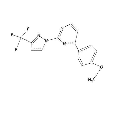 COc1ccc(-c2c[c]nc(-n3ccc(C(F)(F)F)n3)n2)cc1